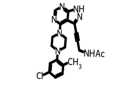 CC(=O)NCC#Cc1n[nH]c2ncnc(N3CCN(c4cc(Cl)ccc4C)CC3)c12